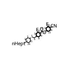 CCCCCCC[C@H]1CC[C@H](CCc2ccc(C(=O)Oc3ccc(C#N)c(F)c3)c(F)c2)CC1